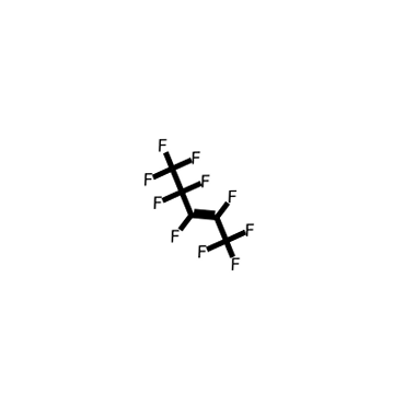 F/C(=C(/F)C(F)(F)C(F)(F)F)C(F)(F)F